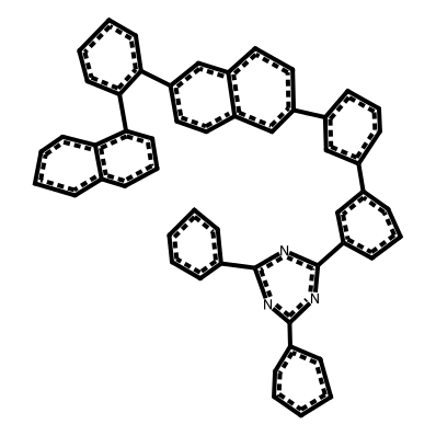 c1ccc(-c2nc(-c3ccccc3)nc(-c3cccc(-c4cccc(-c5ccc6cc(-c7ccccc7-c7cccc8ccccc78)ccc6c5)c4)c3)n2)cc1